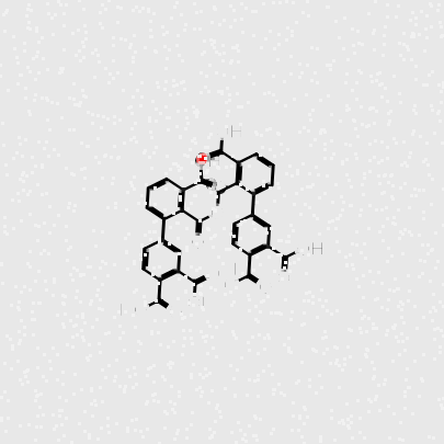 O=C(O)c1ccc(-c2cccc(C(=O)O)c2C(=O)OC(=O)c2c(C(=O)O)cccc2-c2ccc(C(=O)O)c(C(=O)O)c2)cc1C(=O)O